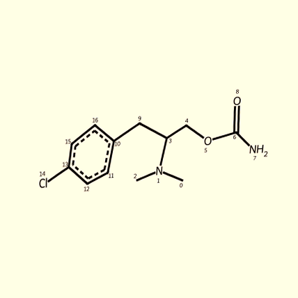 CN(C)C(COC(N)=O)Cc1ccc(Cl)cc1